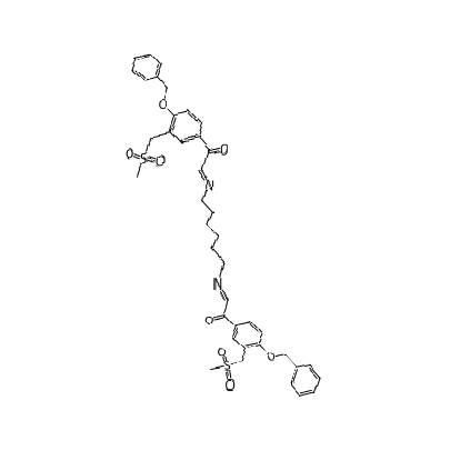 CS(=O)(=O)Cc1cc(C(=O)C=NCCCCCCN=CC(=O)c2ccc(OCc3ccccc3)c(CS(C)(=O)=O)c2)ccc1OCc1ccccc1